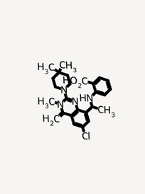 C=C1c2cc(Cl)cc(C(C)Nc3ccccc3C(=O)O)c2N=C(N2CCC(C)(C)CC2)N1C